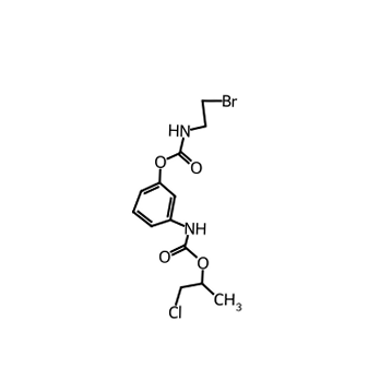 CC(CCl)OC(=O)Nc1cccc(OC(=O)NCCBr)c1